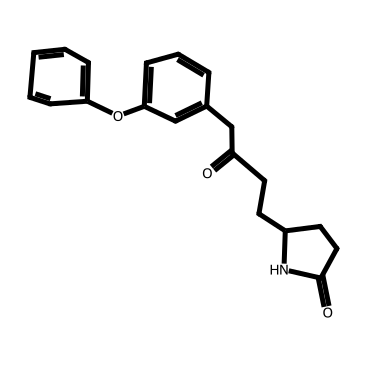 O=C(CCC1CCC(=O)N1)Cc1cccc(Oc2ccccc2)c1